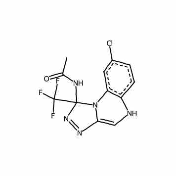 CC(=O)NC1(C(F)(F)F)N=NC2=CNc3ccc(Cl)cc3N21